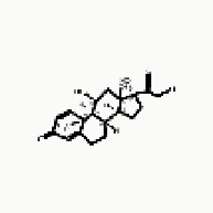 C[C@]12C=CC(=O)C=C1CC[C@@H]1[C@@H]2[C@@H](O)C[C@@]2(C)[C@H]1CC[C@]2(O)C(=O)CCl